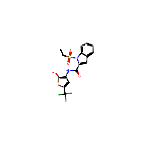 CCS(=O)(=O)n1c(C(=O)Nc2cc(C(F)(F)F)sc2O)cc2ccccc21